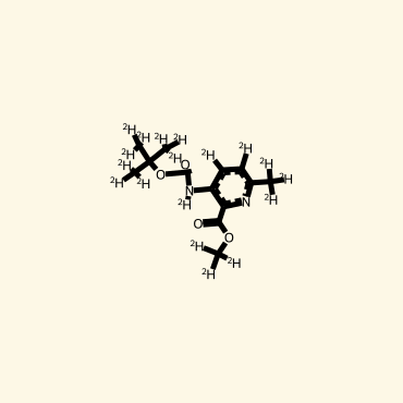 [2H]c1c(C([2H])([2H])[2H])nc(C(=O)OC([2H])([2H])[2H])c(N([2H])C(=O)OC(C([2H])([2H])[2H])(C([2H])([2H])[2H])C([2H])([2H])[2H])c1[2H]